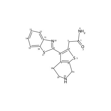 NC(=O)Cc1sc2c(c1-c1nc3ccccc3s1)CCNC2